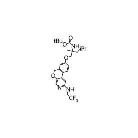 CC(C)CC(C)(COc1ccc2c(c1)COc1cnc(NCC(F)(F)F)cc1-2)NC(=O)OC(C)(C)C